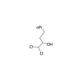 CCCCCC(O)C(Cl)Cl